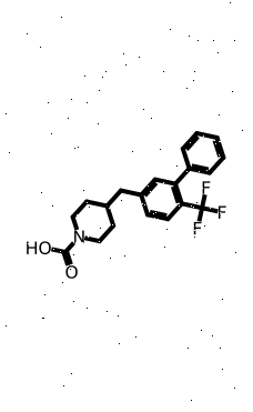 O=C(O)N1CCC(Cc2ccc(C(F)(F)F)c(-c3ccccc3)c2)CC1